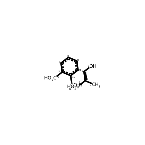 CC(=CO)C(=O)O.O=C(O)c1ccccc1C(=O)O